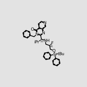 CC(C)[C@H](NC[C@@H](F)CO[Si](c1ccccc1)(c1ccccc1)C(C)(C)C)c1nc2cnccc2c(=O)n1Cc1ccccc1